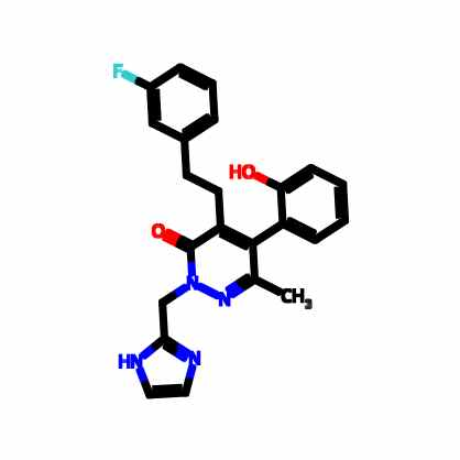 Cc1nn(Cc2ncc[nH]2)c(=O)c(CCc2cccc(F)c2)c1-c1ccccc1O